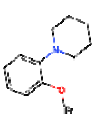 CC(C)Oc1ccccc1N1[CH]CCCC1